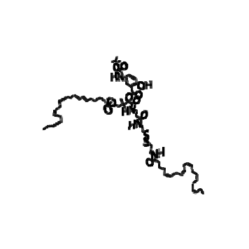 CC/C=C\C/C=C\C/C=C\C/C=C\C/C=C\CCCC(=O)NCCSSCCNC(=O)CCNC(=O)[C@H](OC(=O)c1cc(NC(=O)OC(C)(C)C)ccc1O)C(C)(C)COC(=O)CCC/C=C/C=C/C/C=C\C/C=C\C/C=C\CC